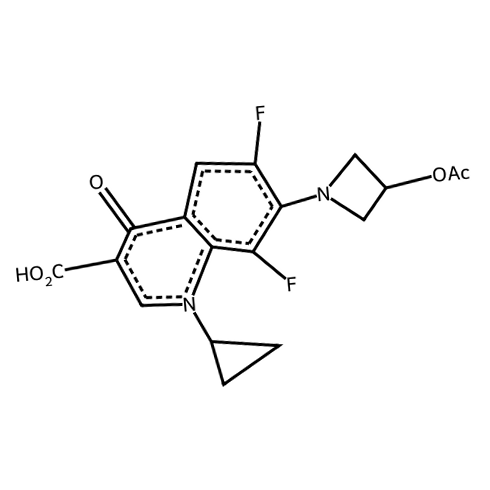 CC(=O)OC1CN(c2c(F)cc3c(=O)c(C(=O)O)cn(C4CC4)c3c2F)C1